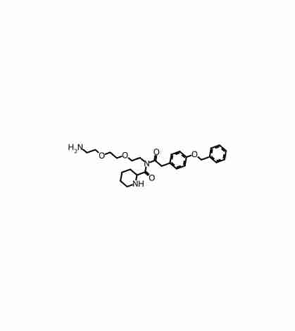 NCCOCCOCCN(C(=O)Cc1ccc(OCc2ccccc2)cc1)C(=O)C1CCCCN1